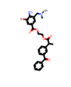 CCCN(C)Cc1cc(C(=O)OCCOC(=O)C(C)c2cccc(C(=O)c3ccccc3)c2)cc(Br)c1N